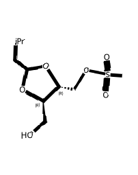 CC(C)CC1O[C@H](CO)[C@@H](COS(C)(=O)=O)O1